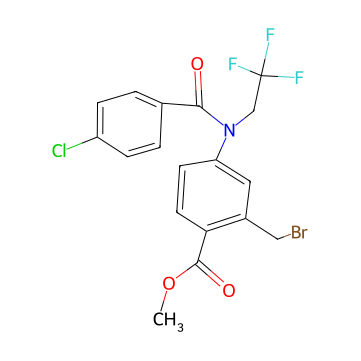 COC(=O)c1ccc(N(CC(F)(F)F)C(=O)c2ccc(Cl)cc2)cc1CBr